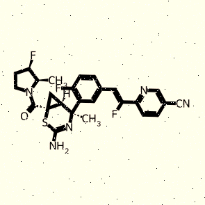 C[C@@H]1[C@H](F)CCN1C(=O)[C@]12C[C@H]1[C@@](C)(c1cc(C=C(F)c3ccc(C#N)cn3)ccc1F)N=C(N)S2